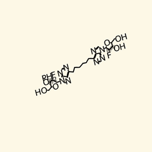 OCC1OC(n2cnc3c(CCCCCCc4ncnc5c4ncn5C4OC(CO)[C@@H](OP)[C@H]4F)ncnc32)[C@H](F)[C@@H]1O